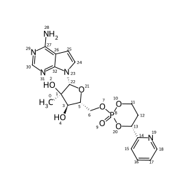 C[C@@]1(O)[C@H](O)[C@@H](COP2(=O)OCC[C@H](c3ccccn3)O2)O[C@H]1n1ccc2c(N)ncnc21